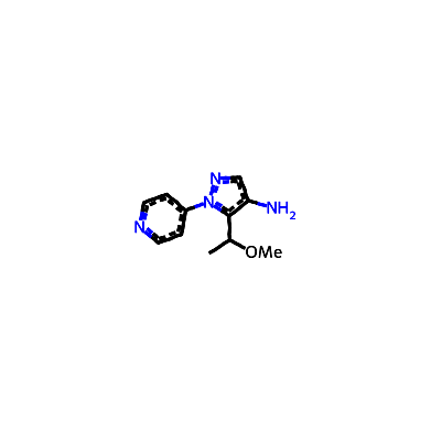 COC(C)c1c(N)cnn1-c1ccncc1